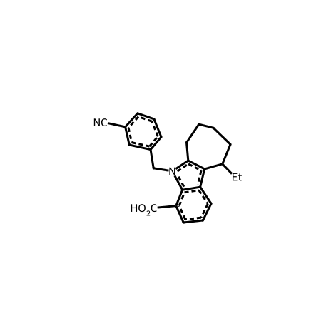 CCC1CCCCc2c1c1cccc(C(=O)O)c1n2Cc1cccc(C#N)c1